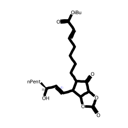 CCCCC[C@H](O)/C=C/C1C(CCCCC=CC(=O)OCC(C)C)C(=O)C2OC(=O)OC21